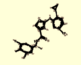 Cc1c(F)cc([C@@H](C)NC(=O)c2coc(Oc3cc(C(F)(F)F)ccc3C3CC3)n2)cc1F